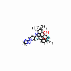 Cc1ccc([C@H](F)c2c(C3CCN(c4ncccn4)CC3)nc3c(c2C2CCC(F)(F)CC2)[C@@H](O)CC(C)(C)C3)cc1